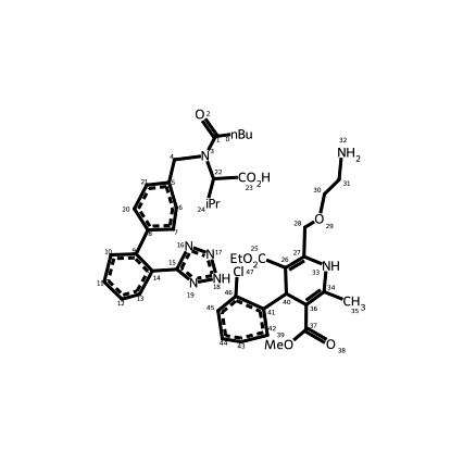 CCCCC(=O)N(Cc1ccc(-c2ccccc2-c2nn[nH]n2)cc1)C(C(=O)O)C(C)C.CCOC(=O)C1=C(COCCN)NC(C)=C(C(=O)OC)C1c1ccccc1Cl